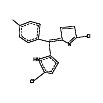 Cc1ccc(/C(=C2\C=CC(Cl)=N2)c2ccc(Cl)[nH]2)cc1